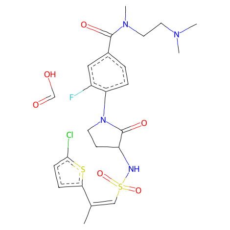 CC(=CS(=O)(=O)NC1CCN(c2ccc(C(=O)N(C)CCN(C)C)cc2F)C1=O)c1ccc(Cl)s1.O=CO